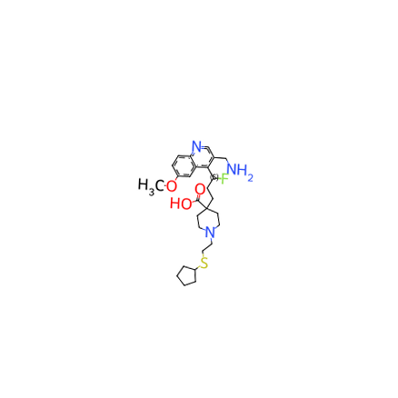 COc1ccc2ncc(CN)c([C@@H](F)CCC3(C(=O)O)CCN(CCSC4CCCC4)CC3)c2c1